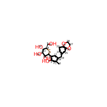 Cc1cc(O)c(C2S[C@H](CO)[C@@H](O)[C@H](O)[C@H]2O)cc1Cc1ccc2c(c1)OCCO2